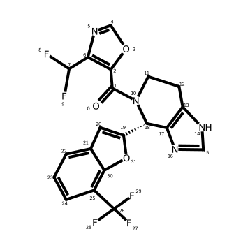 O=C(c1ocnc1C(F)F)N1CCc2[nH]cnc2[C@@H]1c1cc2cccc(C(F)(F)F)c2o1